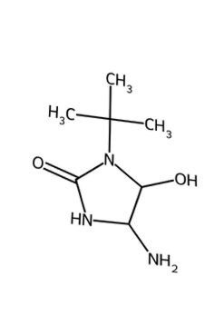 CC(C)(C)N1C(=O)NC(N)C1O